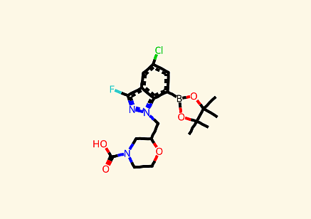 CC1(C)OB(c2cc(Cl)cc3c(F)nn(CC4CN(C(=O)O)CCO4)c23)OC1(C)C